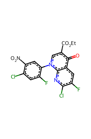 CCOC(=O)c1cn(-c2cc([N+](=O)[O-])c(Cl)cc2F)c2nc(Cl)c(F)cc2c1=O